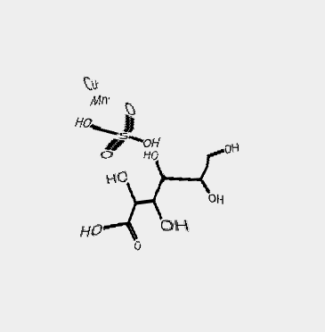 O=C(O)C(O)C(O)C(O)C(O)CO.O=S(=O)(O)O.[Cu].[Mn]